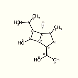 CC(N)C1C(O)N2[C@@H]1C(C)C[C@H]2C(O)O